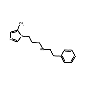 Cc1cncn1CCCNCCc1ccccc1